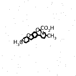 CC1CCC(c2ccc3c(c2)CC2(CCN(C)CC2)O3)N(C(=O)C(=O)O)C1